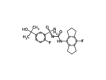 CC(C)(O)c1ccc(F)c(S(N)(=O)=NC(=O)Nc2c3c(c(F)c4c2CCC4)CCC3)c1